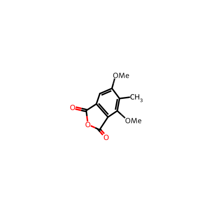 COc1cc2c(c(OC)c1C)C(=O)OC2=O